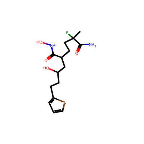 CC(F)(CCC(CC(O)[CH]Cc1cccs1)C(=O)NO)C(N)=O